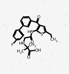 CCc1cc(C(=O)c2cccc(-c3ccc(F)cc3)c2)c(NC(=O)CNC(C)(C)C(=O)O)s1